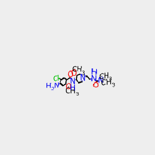 COc1cc(N)c(Cl)cc1C(=O)N[C@H]1CCN(CCNC(=O)N(C)C)C[C@H]1OC